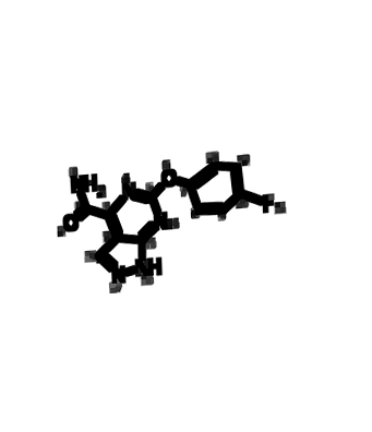 NC(=O)c1nc(Oc2ccc(F)cc2)nc2[nH]n[c]c12